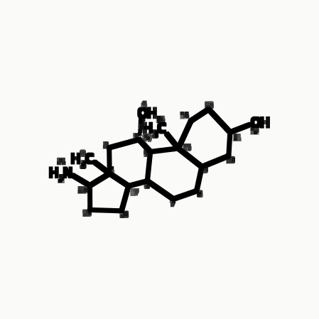 CC12C[C@H](O)C3C(CCC4CC(O)CCC43C)C1CCC2N